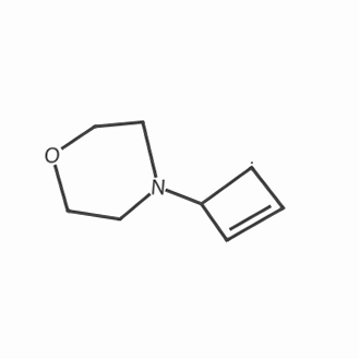 [CH]1C=CC1N1CCOCC1